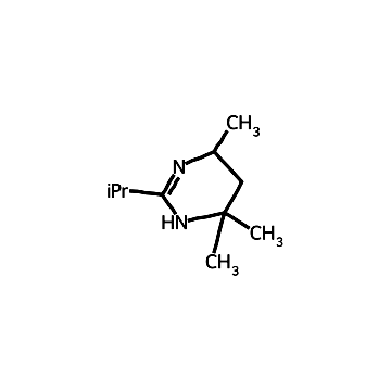 CC1CC(C)(C)NC(C(C)C)=N1